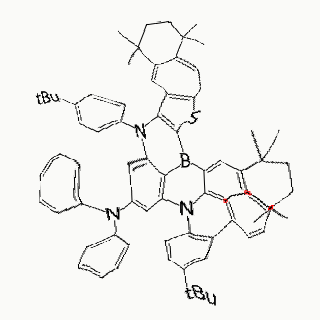 CC(C)(C)c1ccc(N2c3cc(N(c4ccccc4)c4ccccc4)cc4c3B(c3cc5c(cc3N4c3ccc(C(C)(C)C)cc3-c3ccccc3)C(C)(C)CCC5(C)C)c3sc4cc5c(cc4c32)C(C)(C)CCC5(C)C)cc1